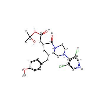 CCOc1ccc(CCC[C@@H](C(=O)N2CCN(c3c(Cl)cncc3Cl)CC2)[C@@H]2OC(C)(C)OC2=O)cc1